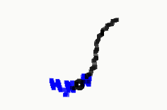 CCCCCCCCCCCCCCCCCCN(C)c1ccc(CN)cc1